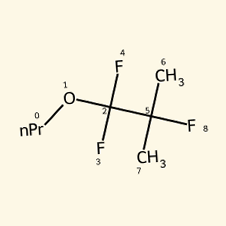 CCCOC(F)(F)C(C)(C)F